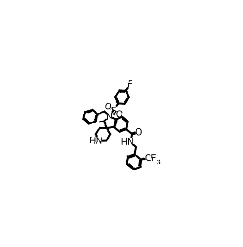 CC1C2(CCNCC2)c2cc(C(=O)NCc3ccccc3C(F)(F)F)ccc2[N+]1(Cc1ccccc1)S(=O)(=O)c1ccc(F)cc1